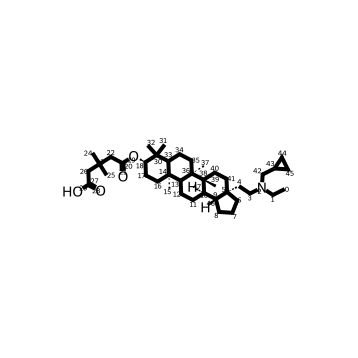 CCN(CC[C@]12CCC[C@@H]1[C@H]1CCC3[C@@]4(C)CC[C@H](OC(=O)CC(C)(C)CC(=O)O)C(C)(C)C4CC[C@@]3(C)[C@]1(C)CC2)CC1CC1